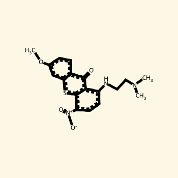 COc1ccc2c(=O)c3c(NCCN(C)C)ccc([N+](=O)[O-])c3sc2c1